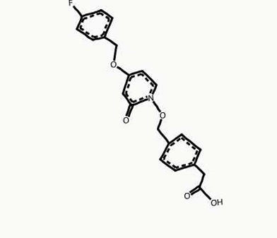 O=C(O)Cc1ccc(COn2ccc(OCc3ccc(F)cc3)cc2=O)cc1